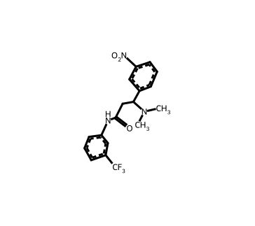 CN(C)C(CC(=O)Nc1cccc(C(F)(F)F)c1)c1cccc([N+](=O)[O-])c1